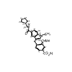 COc1cc(C(=O)O)ccc1Cc1cn(C)c2ccc(C(=O)NCC3CCCC3)cc12